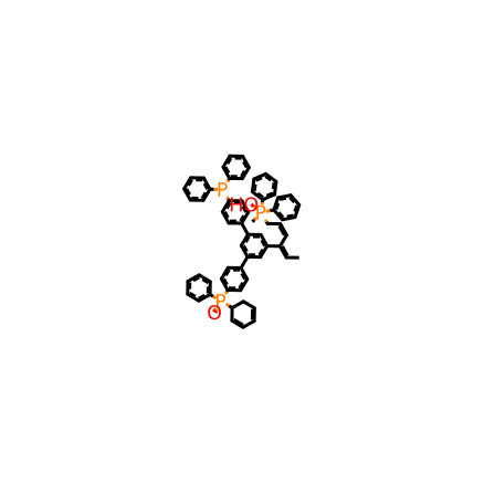 C/C=C(\C=C/CP(C)(O)(c1ccccc1)c1ccccc1)c1cc(-c2ccc(P(c3ccccc3)c3ccccc3)cc2)cc(-c2ccc(P(=O)(c3ccccc3)C3C=CC=CC3)cc2)c1